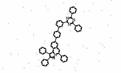 c1ccc(-c2nc(-c3ccccc3)nc(-c3cccc(-c4ccc(-c5ccc6c(c5)cc(-c5ccccc5)n5nc(-c7ccccc7)c(-c7ccccc7)c65)cc4)c3)n2)cc1